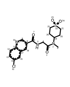 CN(C(=O)CNC(=O)c1cnc2ccc(Cl)cc2c1)C1CCS(=O)(=O)CC1